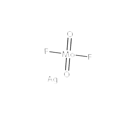 [Ag].[O]=[Mo](=[O])([F])[F]